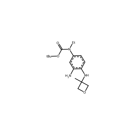 CCN(C(=O)OC(C)(C)C)c1ccc(NC2(C)COC2)c(N)c1